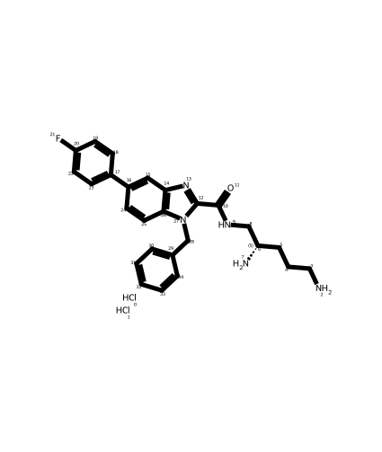 Cl.Cl.NCCC[C@H](N)CNC(=O)c1nc2cc(-c3ccc(F)cc3)ccc2n1Cc1ccccc1